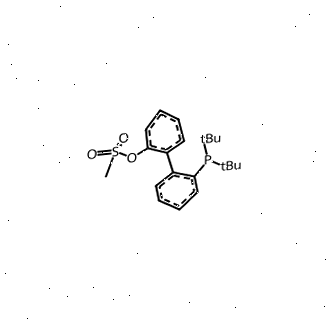 CC(C)(C)P(c1ccccc1-c1ccccc1OS(C)(=O)=O)C(C)(C)C